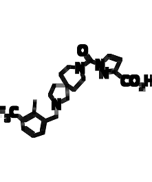 Cc1c(CN2CCC3(CCN(C(=O)n4ccc(C(=O)O)n4)CC3)C2)cccc1C(F)(F)F